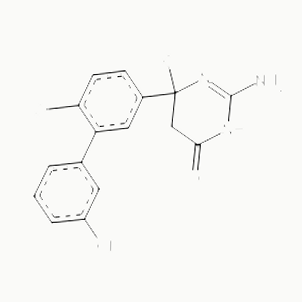 CC1(c2ccc(Cl)c(-c3cccc(O)c3)c2)CC(=O)NC(N)=N1